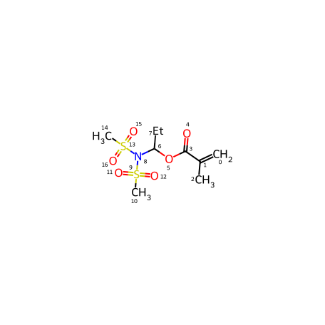 C=C(C)C(=O)OC(CC)N(S(C)(=O)=O)S(C)(=O)=O